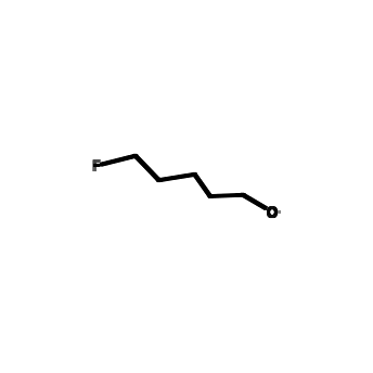 [O]CCCCCF